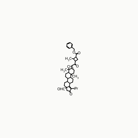 CC(C)C1=C2C3CCC4C(CCC5C(C)(C)C(CC(=O)C6CC(C(=O)OCc7ccccc7)C6C)CCC45C)C3CCC2(C=O)CC1=O